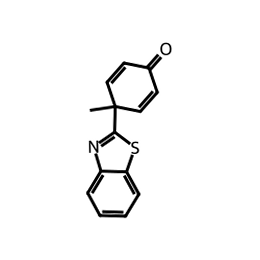 CC1(c2nc3ccccc3s2)C=CC(=O)C=C1